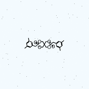 Cc1cc(C)cc(CP2(=O)OCC3(CO2)COP(=O)(Cc2cc(C)cc(C)c2)OC3)c1